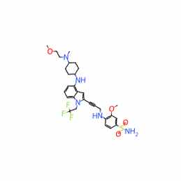 COCCN(C)C1CCC(Nc2cccc3c2cc(C#CCNc2ccc(S(N)(=O)=O)cc2OC)n3CC(F)(F)F)CC1